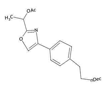 CCCCCCCCCCCCc1ccc(-c2coc(C(C)OC(C)=O)n2)cc1